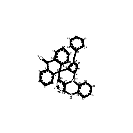 O=C1c2ccccc2C2(c3ccccc31)c1cc(-c3ccccc3)ccc1N1c3ccccc3Sc3cccc2c31